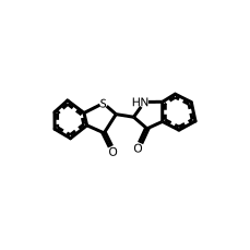 O=C1c2ccccc2NC1C1Sc2ccccc2C1=O